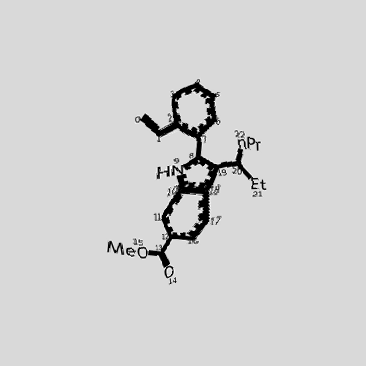 C=Cc1ccccc1-c1[nH]c2cc(C(=O)OC)ccc2c1C(CC)CCC